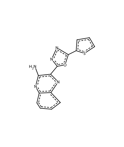 Nc1nc2ccccc2nc1-c1nnc(-c2cccs2)o1